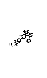 C=C1C=C(F)C(c2ccc(S(C)(=O)=O)cc2)=CC=C1C1=C(C)COC[C@H]1c1ccccc1